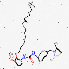 CCCCCCCCCCCCCCOc1c(NC(=O)Nc2cccc(CN3C(C)=CSC3Br)c2)cccc1OC